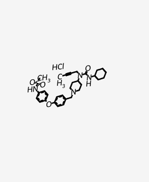 CC#CCN(C(=O)NC1CCCCC1)C1CCN(Cc2ccc(Oc3ccc(NS(C)(=O)=O)cc3)cc2)CC1.Cl